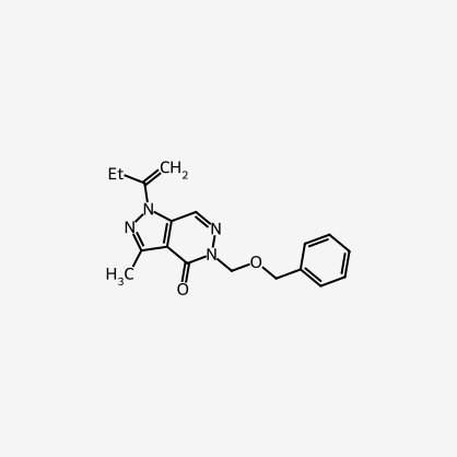 C=C(CC)n1nc(C)c2c(=O)n(COCc3ccccc3)ncc21